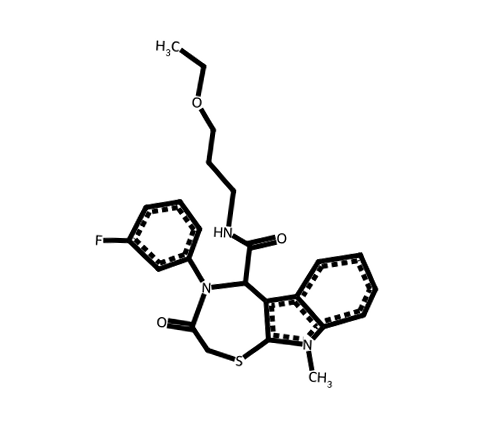 CCOCCCNC(=O)C1c2c(n(C)c3ccccc23)SCC(=O)N1c1cccc(F)c1